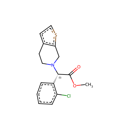 COC(=O)[C@H](c1ccccc1Cl)N1CCc2ccsc2C1